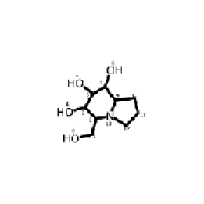 OCC1C(O)C(O)C(O)C2CCCN12